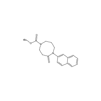 CC(C)(C)OC(=O)N1CCCN(c2ccc3ccccc3c2)C(=O)CC1